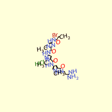 C=C(Br)C(=O)Nc1cn(C)c(C(=O)Nc2cc(C(=O)Nc3cc(C(=O)NCCC(=N)N)n(C)c3)n(C)n2)n1.Cl